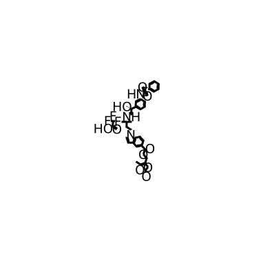 Cc1oc(=O)oc1COC(=O)c1ccc2c(ccn2CCC(C)(C)NC[C@H](O)c2cccc(NS(=O)(=O)c3ccccc3)c2)c1.O=C(O)C(F)(F)F